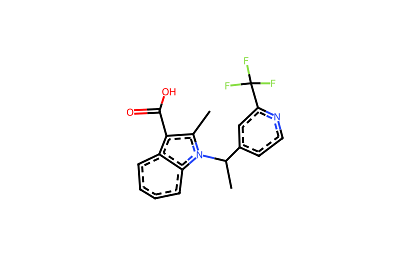 Cc1c(C(=O)O)c2ccccc2n1C(C)c1ccnc(C(F)(F)F)c1